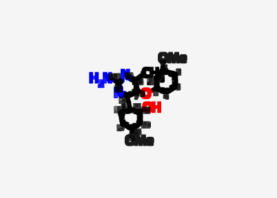 COc1cccc(Oc2c(C)nc(N)nc2-c2ccc(OC)cc2O)c1